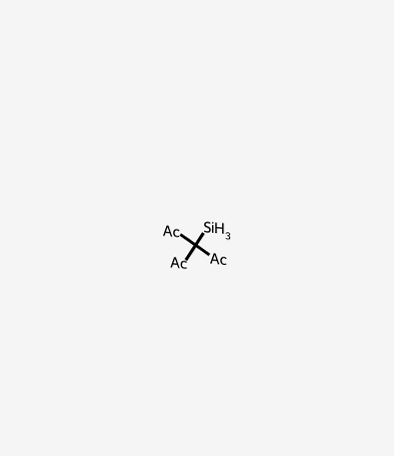 CC(=O)C([SiH3])(C(C)=O)C(C)=O